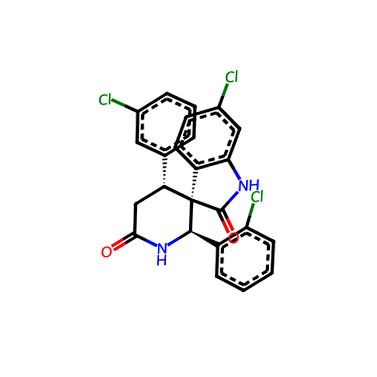 O=C1C[C@H](c2cccc(Cl)c2)[C@@]2(C(=O)Nc3cc(Cl)ccc32)[C@@H](c2ccccc2Cl)N1